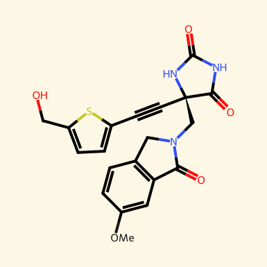 COc1ccc2c(c1)C(=O)N(C[C@@]1(C#Cc3ccc(CO)s3)NC(=O)NC1=O)C2